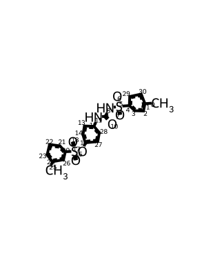 Cc1ccc(S(=O)(=O)NC(=O)Nc2ccc(OS(=O)(=O)c3cccc(C)c3)cc2)cc1